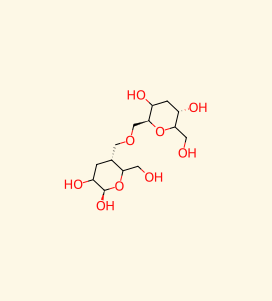 OCC1O[C@@H](O)C(O)C[C@@H]1COC[C@@H]1OC(CO)[C@@H](O)CC1O